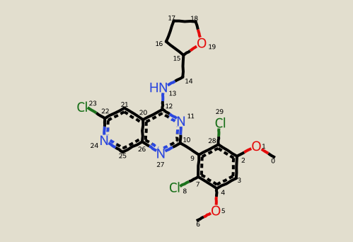 COc1cc(OC)c(Cl)c(-c2nc(NCC3CCCO3)c3cc(Cl)ncc3n2)c1Cl